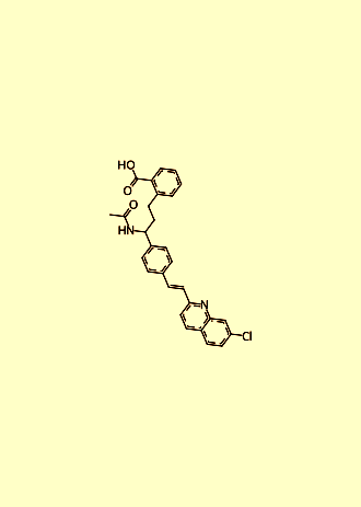 CC(=O)NC(CCc1ccccc1C(=O)O)c1ccc(/C=C/c2ccc3ccc(Cl)cc3n2)cc1